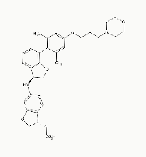 Cc1cc(OCCCN2CCOCC2)cc(C)c1-c1cccc2c1OC[C@H]2Nc1ccc2c(c1)OC[C@H]2CC(=O)O